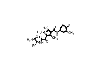 Cc1cc(NC(=O)c2c(C)c(C(=O)C(=O)N[C@H](C(N)=O)C(C)C)n(C)c2C)ccc1F